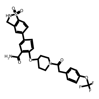 NC(=O)c1cc(-c2ccc3c(c2)CNS3(=O)=O)ccc1OC1CCN(C(=O)Cc2ccc(OC(F)(F)F)cc2)CC1